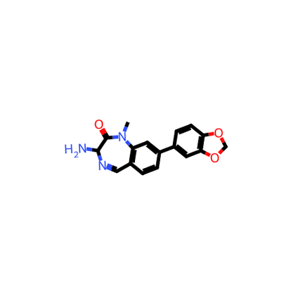 CN1C(=O)C(N)N=Cc2ccc(-c3ccc4c(c3)OCO4)cc21